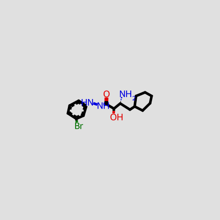 N[C@H](CC1CCCCC1)C(O)C(=O)NNc1cccc(Br)c1